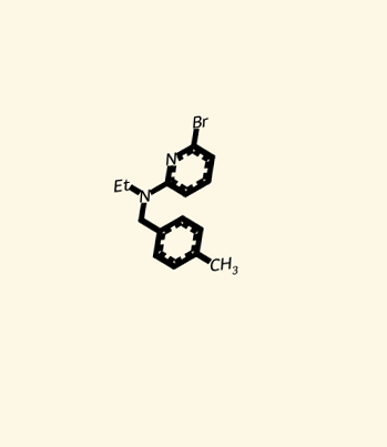 CCN(Cc1ccc(C)cc1)c1cccc(Br)n1